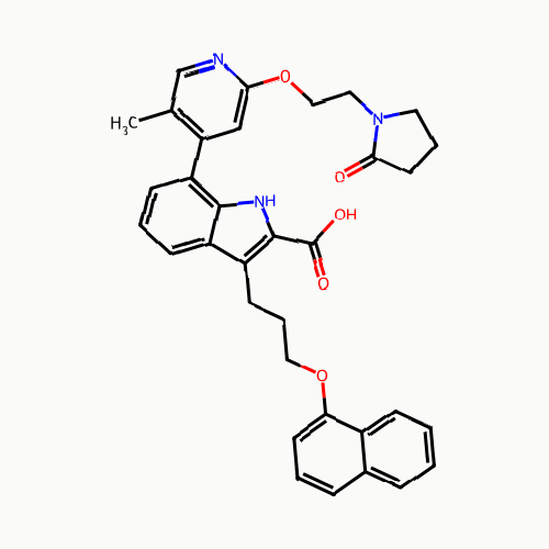 Cc1cnc(OCCN2CCCC2=O)cc1-c1cccc2c(CCCOc3cccc4ccccc34)c(C(=O)O)[nH]c12